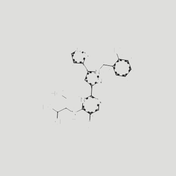 CC(C)[C@H](CO)Nc1nc(-c2cc(-c3ccon3)n(Cc3ccccc3F)n2)ncc1F